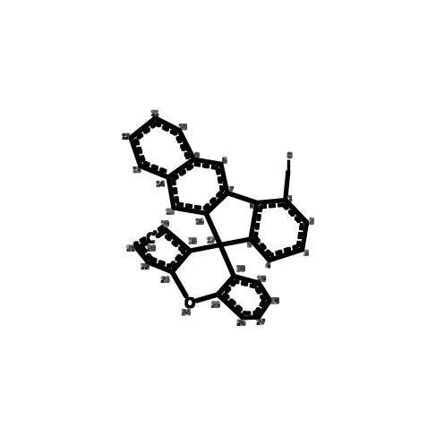 Ic1cccc2c1-c1cc3ccccc3cc1C21c2ccccc2Oc2ccccc21